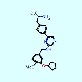 COc1ccc(CNc2cncc(-c3ccc(CC(N)C(=O)O)cc3)n2)cc1OC1CCCC1